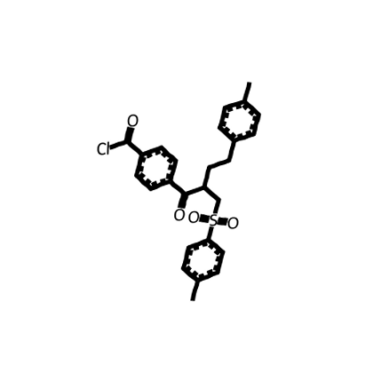 Cc1ccc(CCC(CS(=O)(=O)c2ccc(C)cc2)C(=O)c2ccc(C(=O)Cl)cc2)cc1